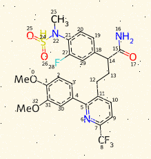 COc1ccc(-c2nc(C(F)(F)F)ccc2CCC(C(N)=O)c2ccc(N(C)[SH](=O)=O)c(F)c2)cc1OC